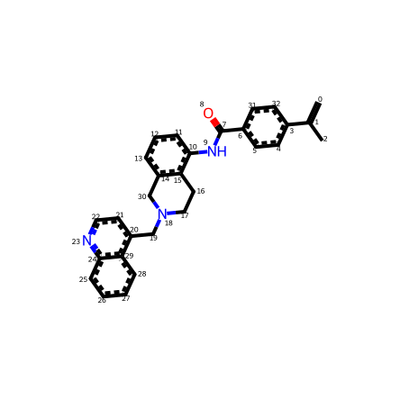 C=C(C)c1ccc(C(=O)Nc2cccc3c2CCN(Cc2ccnc4ccccc24)C3)cc1